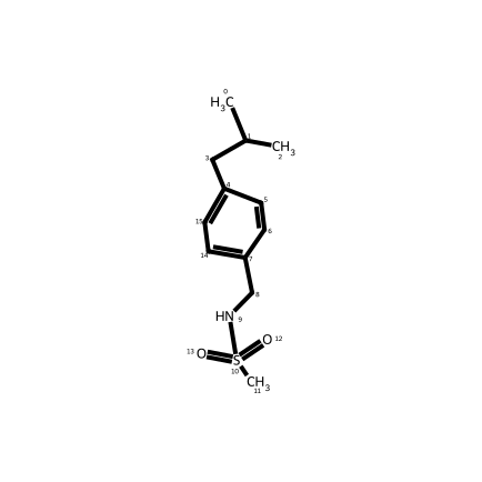 CC(C)Cc1ccc(CNS(C)(=O)=O)cc1